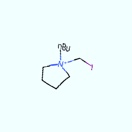 CCCC[N+]1(CI)CCCC1